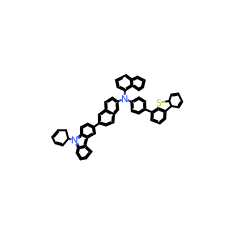 C1=CCC(n2c3ccccc3c3cc(-c4ccc5cc(N(c6ccc(-c7cccc8c7SC7C=CC=CC87)cc6)c6cccc7ccccc67)ccc5c4)ccc32)C=C1